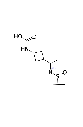 C/C(=N\[S+]([O-])C(C)(C)C)C1CC(NC(=O)O)C1